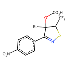 CCC1(OC(=O)O)C(c2ccc([N+](=O)[O-])cc2)=NSC1C(F)(F)F